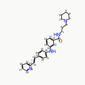 O=C(NCCCN1CCCCC1)c1cccc(Nc2ccc(/C=C/c3ccccn3)cc2)c1